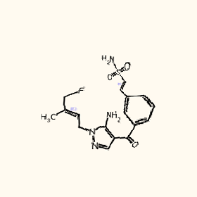 C/C(=C\Cn1ncc(C(=O)c2cccc(/C=C/S(N)(=O)=O)c2)c1N)CF